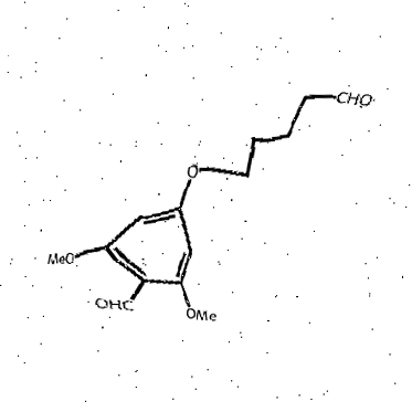 COc1cc(OCCCC[C]=O)cc(OC)c1C=O